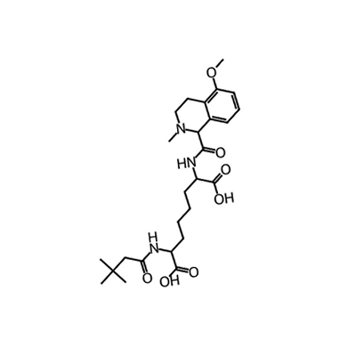 COc1cccc2c1CCN(C)C2C(=O)NC(CCCCC(NC(=O)CC(C)(C)C)C(=O)O)C(=O)O